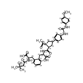 COc1ccc(NC(=O)Nc2ccc(C3CC(C(=O)NC(Cc4ccccc4CC(NC(=O)CC(C)(C)C)C(=O)O)C(=O)O)N(C(C)=O)C3)cc2)cc1